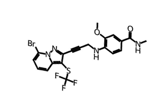 CNC(=O)c1ccc(NCC#Cc2nn3c(Br)cccc3c2SC(F)(F)F)c(OC)c1